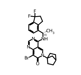 C[C@H](Nc1ncnc2c(Br)c(=O)n(C34CCC(CC3)C4)cc12)c1cccc2c1CCC2(F)F